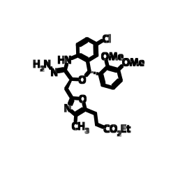 CCOC(=O)CCc1oc(C[C@@H]2O[C@@H](c3cccc(OC)c3OC)c3cc(Cl)ccc3NC2=NN)nc1C